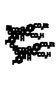 CCOC(=O)N1CCN(C(=O)C(CCC(=O)O)NC(=O)c2cc(OC3(C(=O)O)CCC3)c3cc(F)c(Cl)cc3n2)CC1.CCOC(=O)N1CCN(C(=O)C(CCC(=O)O)NC(=O)c2cc(OC3(C(=O)O)CCC3)c3cc(F)ccc3n2)CC1